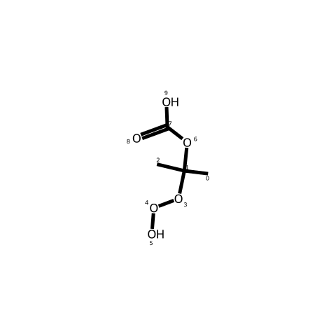 CC(C)(OOO)OC(=O)O